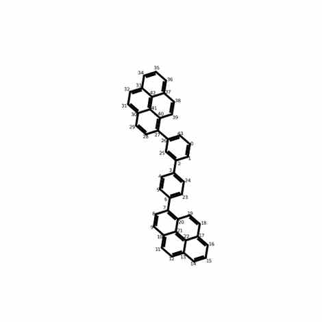 c1cc(-c2ccc(-c3ccc4ccc5cccc6ccc3c4c56)cc2)cc(-c2ccc3ccc4cccc5ccc2c3c45)c1